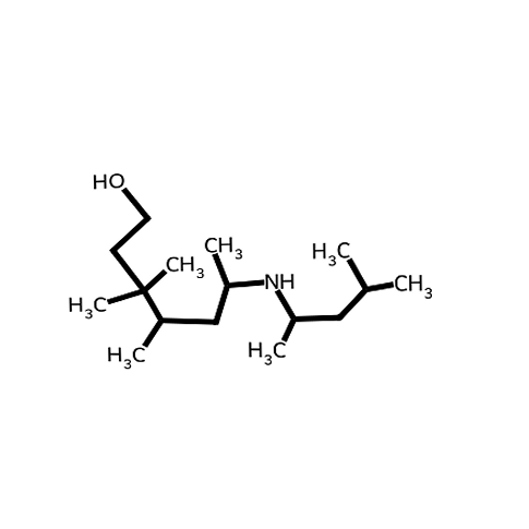 CC(C)CC(C)NC(C)CC(C)C(C)(C)CCO